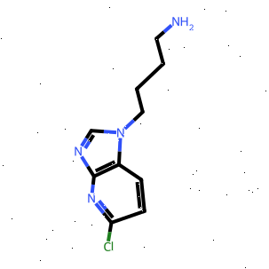 NCCCCn1cnc2nc(Cl)ccc21